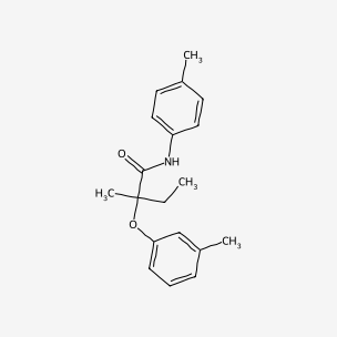 CCC(C)(Oc1cccc(C)c1)C(=O)Nc1ccc(C)cc1